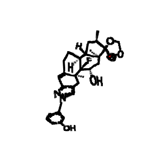 C[C@@H]1C[C@H]2[C@@H]3CCC4=Cc5nn(-c6cccc(O)c6)cc5C[C@]4(C)[C@@]3(F)[C@@H](O)C[C@]2(C)[C@]12OCOC21COCO1